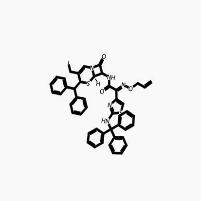 C=CCON=C(C(=O)NC1C(=O)N2C=C(CI)C(C(c3ccccc3)c3ccccc3)S[C@H]12)c1csc(NC(c2ccccc2)(c2ccccc2)c2ccccc2)n1